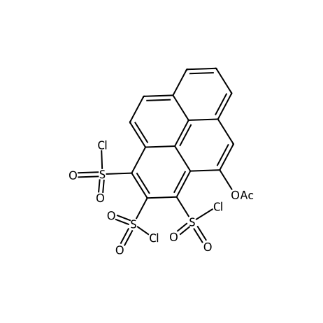 CC(=O)Oc1cc2cccc3ccc4c(S(=O)(=O)Cl)c(S(=O)(=O)Cl)c(S(=O)(=O)Cl)c1c4c32